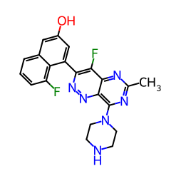 Cc1nc(N2CCNCC2)c2nnc(-c3cc(O)cc4cccc(F)c34)c(F)c2n1